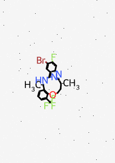 C[C@@H]1CCOc2c(cccc2C(F)(F)F)[C@@H](C)Nc2nc1nc1cc(F)c(Br)cc21